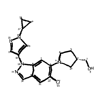 OC[C@H]1CCN(c2cc3c(cnn3-c3cnn(C4CC4)c3)cc2Cl)C1